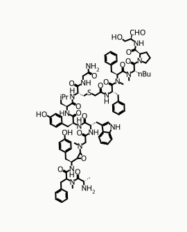 CCCC[C@@H](C(=O)N1CCC[C@@H]1C(=O)N[C@H](C=O)CO)N(C)C(=O)[C@H](Cc1ccccc1)N(C)C(=O)[C@H](Cc1ccccc1)NC(=O)CSC[C@H](NC(=O)[C@H](CC(C)C)NC(=O)[C@H](Cc1ccc(O)cc1)NC(=O)[C@H](Cc1c[nH]c2ccccc12)NC(=O)CN(C)C1OC1[C@H](Cc1ccc(O)cc1)NC(=O)C(Cc1ccccc1)N(C)C(=O)[C@H](C)N)C(=O)NCC(N)=O